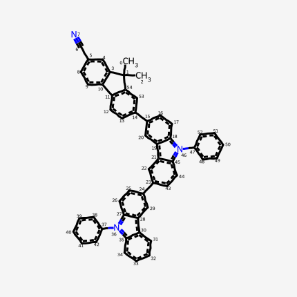 CC1(C)c2cc(C#N)ccc2-c2ccc(-c3ccc4c(c3)c3cc(-c5ccc6c(c5)c5ccccc5n6-c5ccccc5)ccc3n4-c3ccccc3)cc21